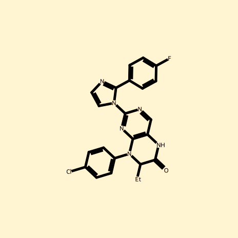 CCC1C(=O)Nc2cnc(-n3ccnc3-c3ccc(F)cc3)nc2N1c1ccc(Cl)cc1